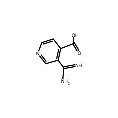 N=C(N)c1cnccc1C(=O)O